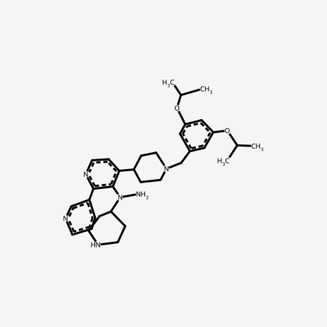 CC(C)Oc1cc(CN2CCC(c3ccnc(-c4cccnc4)c3N(N)C3CCNCC3)CC2)cc(OC(C)C)c1